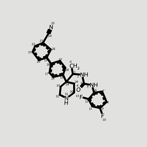 CC(NC(=O)Nc1ccc(F)cc1F)C1(c2ccc(-c3cccc(C#N)c3)cc2)CCNCC1